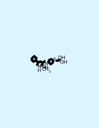 COC1NCC(C2CCCCC2)CC1CNC1CCC(SCC(O)O)CC1